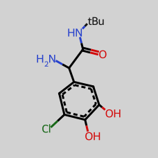 CC(C)(C)NC(=O)C(N)c1cc(O)c(O)c(Cl)c1